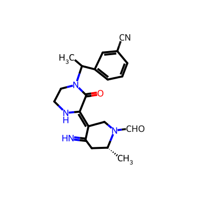 CC(c1cccc(C#N)c1)N1CCN/C(=C2/CN(C=O)[C@H](C)CC2=N)C1=O